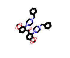 O=C(c1ccc2c(c1N1CCN(Cc3ccccc3)CC1)OCO2)c1ccc2c(c1N1CCN(Cc3ccccc3)CC1)OCO2